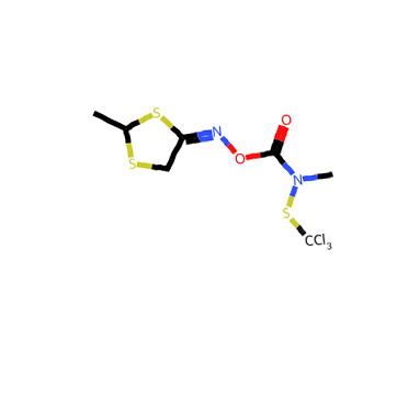 CC1SCC(=NOC(=O)N(C)SC(Cl)(Cl)Cl)S1